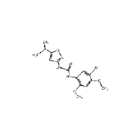 COc1cc(OC)c(NC(=O)Nc2cc(C(C)C)on2)cc1Cl